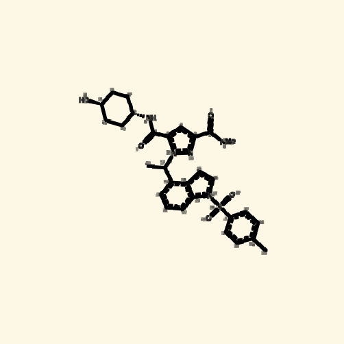 CNC(=O)c1cc(C(=O)N[C@H]2CC[C@H](O)CC2)n(C(C)c2cccc3c2ccn3S(=O)(=O)c2ccc(C)cc2)n1